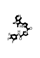 Cc1c(-c2ccc(C(=O)N3CCC(C(=O)Nc4cc(F)c(F)c(F)c4)C3)[nH]2)c2cnccc2n1C